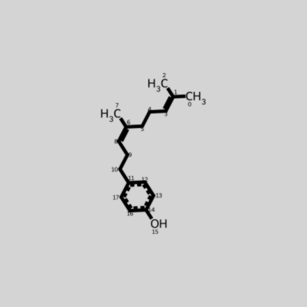 CC(C)=CCCC(C)=CCCc1ccc(O)cc1